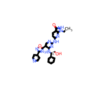 CCn1[nH]c(=O)c2ccc(Nc3ncc(-c4nc(-c5ccncc5)no4)c(N[C@H](CO)c4ccccc4)n3)nc21